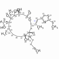 C#CCCN1[C@H]2C[C@@H](/C(C)=C/c3csc(SC)n3)OC(=O)C[C@H](O)C(C)(C)C(=O)[C@H](C)[C@@H](O)[C@@H](C)CCC[C@]21C